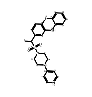 CC(c1ccc2c(c1)Nc1ccccc1S2)S(=O)(=O)N1CCN(c2ccncc2)CC1